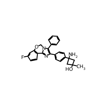 CC1(O)CC(N)(c2ccc(-c3nc4n(c3-c3ccccc3)COc3cc(F)ccc3-4)cc2)C1